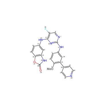 COc1ccc(Nc2ncc(F)c(Nc3ccc4oc(=O)[nH]c4c3)n2)cc1-c1ccncc1